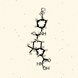 [C-]#[N+]c1ccc(NC(=O)N2Cc3cc(C(=O)NO)sc3C(C)(C)C2)cc1